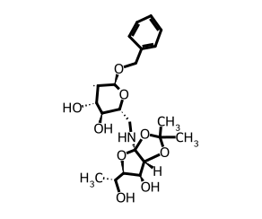 C[C@@H](O)[C@H]1O[C@@]2(NC[C@H]3O[C@H](OCc4ccccc4)[CH][C@@H](O)[C@@H]3O)OC(C)(C)O[C@@H]2[C@H]1O